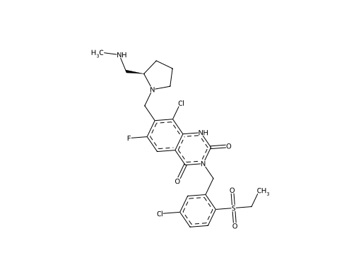 CCS(=O)(=O)c1ccc(Cl)cc1Cn1c(=O)[nH]c2c(Cl)c(CN3CCC[C@@H]3CNC)c(F)cc2c1=O